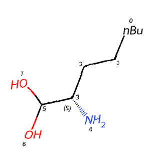 CCCCCC[C@H](N)C(O)O